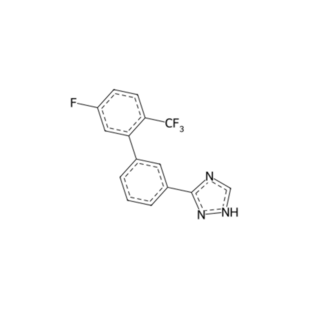 Fc1ccc(C(F)(F)F)c(-c2cccc(-c3nc[nH]n3)c2)c1